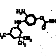 CC1CC(Nc2ccc(OC(N)=O)cc2N)CC(C)(C)C1